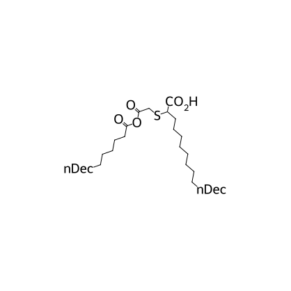 CCCCCCCCCCCCCCCCCCC(SCC(=O)OC(=O)CCCCCCCCCCCCCCC)C(=O)O